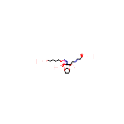 O=C(O)C/C=C/C[C@@H](O)[C@@](/C=C\CCCCCCO)(C(=O)O)C1CCCC1